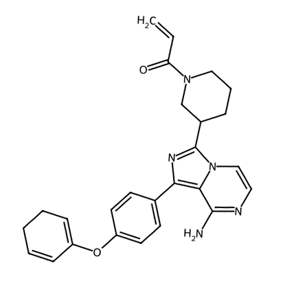 C=CC(=O)N1CCCC(c2nc(-c3ccc(OC4=CCCC=C4)cc3)c3c(N)nccn23)C1